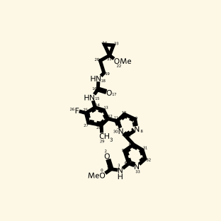 COC(=O)Nc1cc(-c2nccc(-c3cc(NC(=O)NCCC4(OC)CC4)c(F)cc3C)n2)ccn1